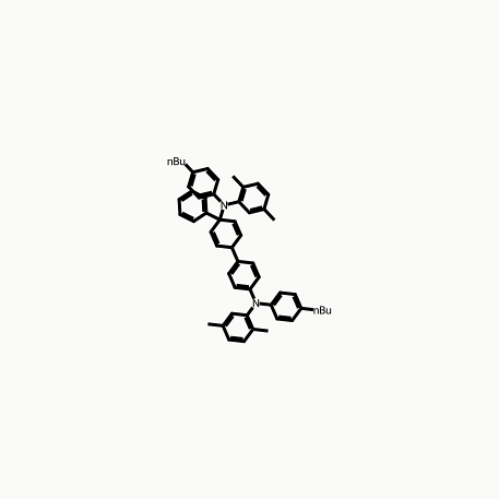 CCCCc1ccc(N(c2ccc(C3C=CC(c4ccccc4)(N(c4ccc(CCCC)cc4)c4cc(C)ccc4C)C=C3)cc2)c2cc(C)ccc2C)cc1